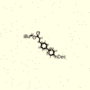 CCCCCCCCCCc1cnc(-c2ccc(CCC(=O)OCC(C)CC)cc2)nc1